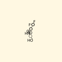 O=S(=O)(N[C@H]1CC[C@H](CO)CC1)c1ccc(-c2ccc(F)cc2F)cc1